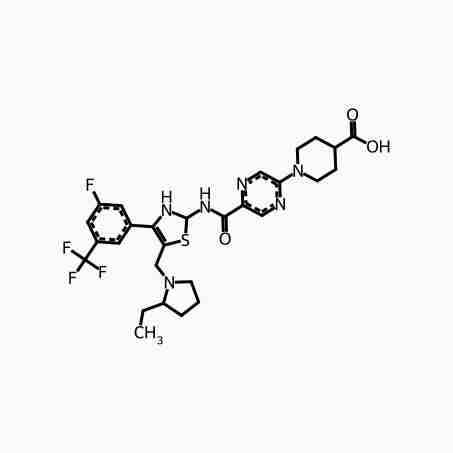 CCC1CCCN1CC1=C(c2cc(F)cc(C(F)(F)F)c2)NC(NC(=O)c2cnc(N3CCC(C(=O)O)CC3)cn2)S1